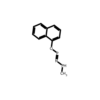 CPN=POc1cccc2ccccc12